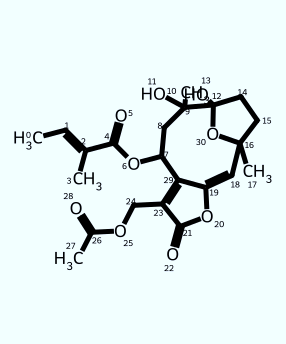 C/C=C(\C)C(=O)OC1CC(C)(O)C2(O)CCC(C)(/C=C3/OC(=O)C(COC(C)=O)=C31)O2